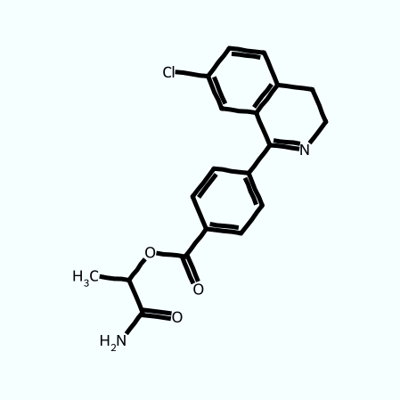 CC(OC(=O)c1ccc(C2=NCCc3ccc(Cl)cc32)cc1)C(N)=O